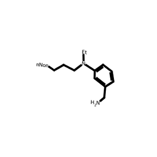 CCCCCCCCCCCCN(CC)c1cccc(CN)c1